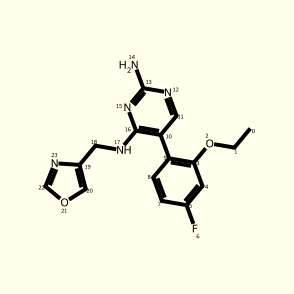 CCOc1cc(F)ccc1-c1cnc(N)nc1NCc1cocn1